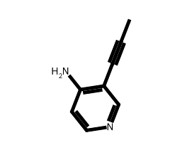 CC#Cc1cnccc1N